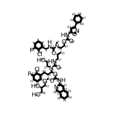 CN(C(=O)NCc1cccc(F)c1Cl)[C@@H](CCCNC(=O)N(CCO)C(OC(=O)Nc1cc2ccccc2cn1)[C@H](COC[C@H](O)CO)Cc1cccc(F)c1Cl)COC(=O)Nc1cc(-c2ccccc2)no1